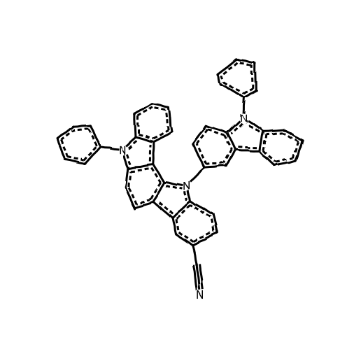 N#Cc1ccc2c(c1)c1ccc3c(c4ccccc4n3-c3ccccc3)c1n2-c1ccc2c(c1)c1ccccc1n2-c1ccccc1